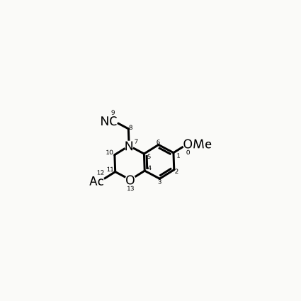 COc1ccc2c(c1)N(CC#N)CC(C(C)=O)O2